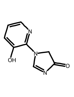 O=C1CN(c2ncccc2O)C=N1